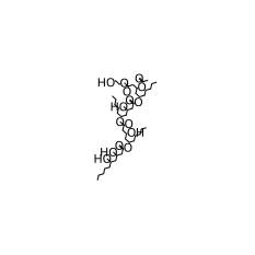 CCCCCC(O)CC(O)CC(=O)OC(CCCCC)CC(O)CC(=O)OC(CCCCC)CC(O)CC(=O)OC(CCCCC)CC(CC(=O)OCCO)OC(C)=O